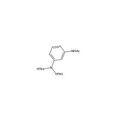 CCCCCCN(CCCCCC)c1cccc(NC(C)=O)c1